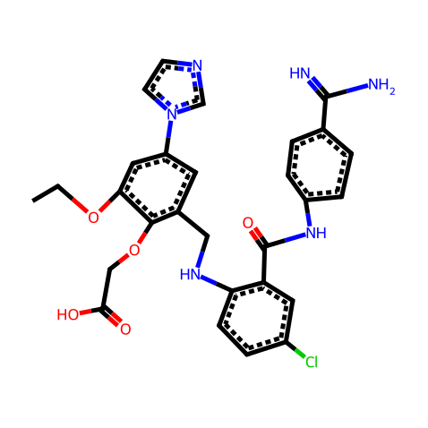 CCOc1cc(-n2ccnc2)cc(CNc2ccc(Cl)cc2C(=O)Nc2ccc(C(=N)N)cc2)c1OCC(=O)O